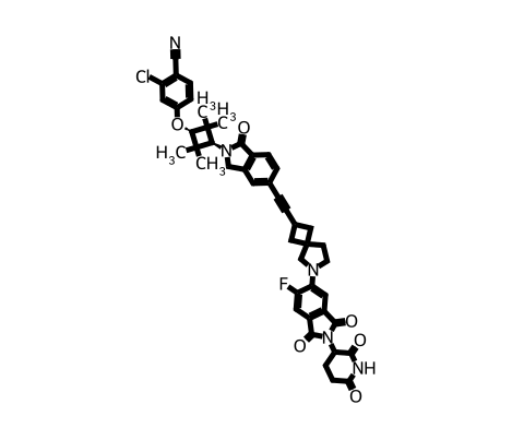 CC1(C)[C@H](Oc2ccc(C#N)c(Cl)c2)C(C)(C)[C@H]1N1Cc2cc(C#CC3CC4(CCN(c5cc6c(cc5F)C(=O)N(C5CCC(=O)NC5=O)C6=O)C4)C3)ccc2C1=O